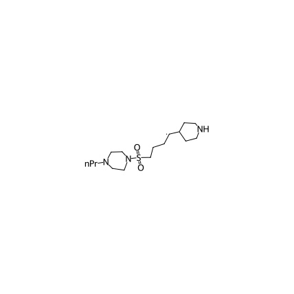 CCCN1CCN(S(=O)(=O)CCC[CH]C2CCNCC2)CC1